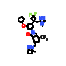 Cn1cnnc1CC1(c2cc(OC3CCCC3)cc(N3Cc4c(cc(CNC5(C)CCC5)cc4C(F)(F)F)C3=O)c2)CC(F)(F)C1